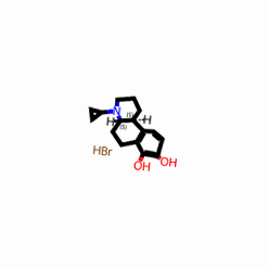 Br.Oc1ccc2c(c1O)CC[C@H]1[C@H]2CCCN1C1CC1